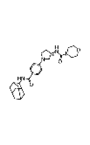 O=C(NC1C2CC3CC(C2)CC1C3)c1ccc(N2CC[C@@H](NC(=O)N3CCOCC3)C2)cc1